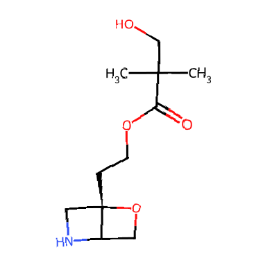 CC(C)(CO)C(=O)OCC[C@]12CNC1CO2